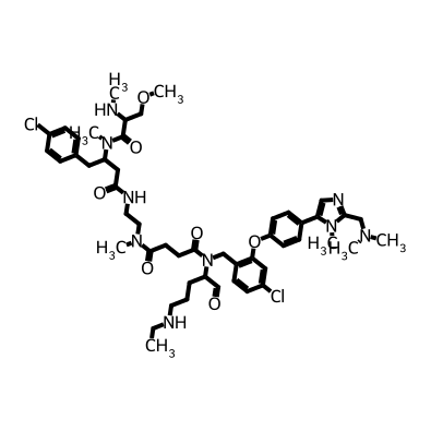 CCNCCCC(C=O)N(Cc1ccc(Cl)cc1Oc1ccc(-c2cnc(CN(C)C)n2C)cc1)C(=O)CCC(=O)N(C)CCNC(=O)CC(Cc1ccc(Cl)cc1)N(C)C(=O)C(COC)NC